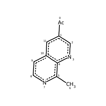 CC(=O)c1cnc2c(C)nccc2c1